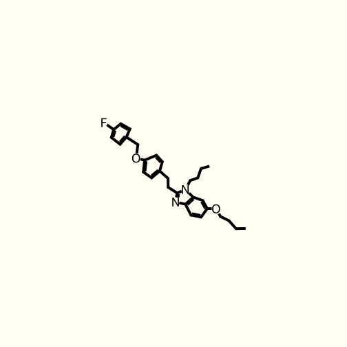 CCCCOc1ccc2nc(CCc3ccc(OCc4ccc(F)cc4)cc3)n(CCCC)c2c1